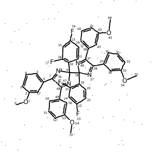 COc1cccc(C2=NC(c3ccc(F)cc3F)(C3(c4ccc(F)cc4F)N=C(c4cccc(OC)c4)C(c4cccc(OC)c4)=N3)N=C2c2cccc(OC)c2)c1